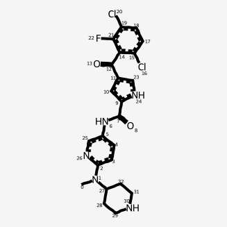 CN(c1ccc(NC(=O)c2cc(C(=O)c3c(Cl)ccc(Cl)c3F)c[nH]2)cn1)C1CCNCC1